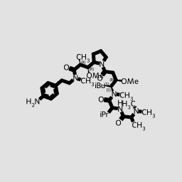 CC[C@H](C)[C@@H]([C@@H](CC(=O)N1CCCC1[C@H](OC)[C@@H](C)C(=O)N(C)CCc1ccc(N)cc1)OC)N(C)C(=O)C(NC(=O)C(C)N(C)C)C(C)C